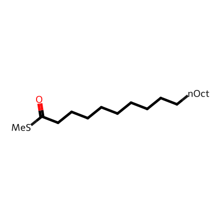 CCCCCCCCCCCCCCCCCC(=O)SC